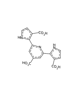 O=C(O)c1cc(-c2[nH]ccc2C(=O)O)nc(-c2[nH]ccc2C(=O)O)c1